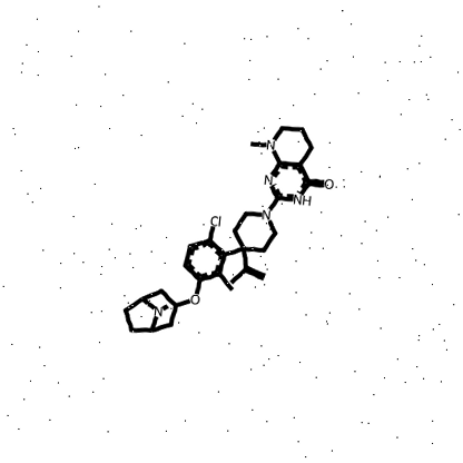 C=C(C)C1(c2c(Cl)ccc(OC3CC4CCC(C3)N4C)c2C)CCN(c2nc3c(c(=O)[nH]2)CCCN3C)CC1